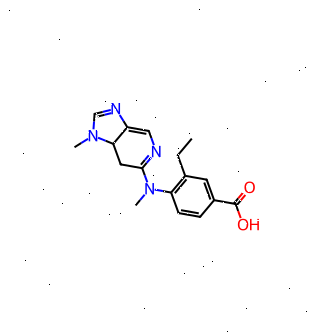 CCc1cc(C(=O)O)ccc1N(C)C1=NC=C2N=CN(C)C2C1